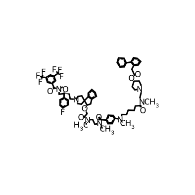 CN(CCN1CCC(OC(=O)Cc2ccccc2-c2ccccc2)CC1)C(=O)CCCCCN(C)c1ccc(C(=O)N(C)CCN(C)C(=O)CO[C@H]2Cc3ccccc3C23CCN(CC[C@@]2(c4ccc(F)cc4)CN(C(=O)c4cc(C(F)(F)F)cc(C(F)(F)F)c4)CO2)CC3)cc1